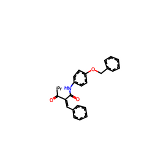 CC(C)C(=O)C(=Cc1ccccc1)C(=O)Nc1ccc(OCc2ccccc2)cc1